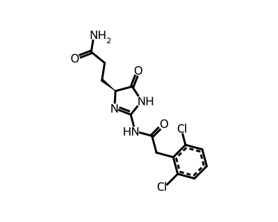 NC(=O)CC[C@@H]1N=C(NC(=O)Cc2c(Cl)cccc2Cl)NC1=O